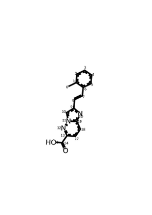 Cc1ccccc1C=Cc1cn2nc(C(=O)O)ccc2n1